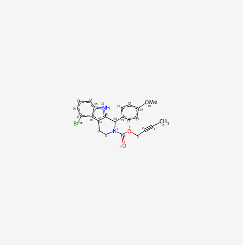 CC#CCOC(=O)N1CCc2c([nH]c3cccc(Br)c23)C1c1ccc(OC)cc1